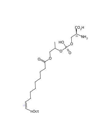 CCCCCCCC/C=C\CCCCCCCC(=O)OCC(C)OP(=O)(O)OC[C@H](N)C(=O)O